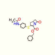 CC(=O)Nc1ccc(SC2=C(C(=O)OCc3ccccc3)N3C(=O)CC3C2)cc1